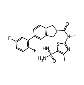 Cc1nc(N(C)C(=O)C2Cc3ccc(-c4cc(F)ccc4F)cc3C2)sc1S(=N)(N)=O